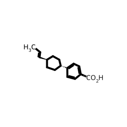 CC=C[C@H]1CC[C@H](c2ccc(C(=O)O)cc2)CC1